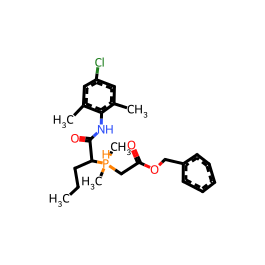 CCCC(C(=O)Nc1c(C)cc(Cl)cc1C)[PH](C)(C)CC(=O)OCc1ccccc1